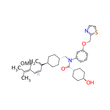 C=C(/C=C\C(OC)=C(C)C)[C@H]1CC[C@H](CN(c2cccc(OCc3nccs3)c2)C(=O)[C@H]2CC[C@H](O)CC2)CC1